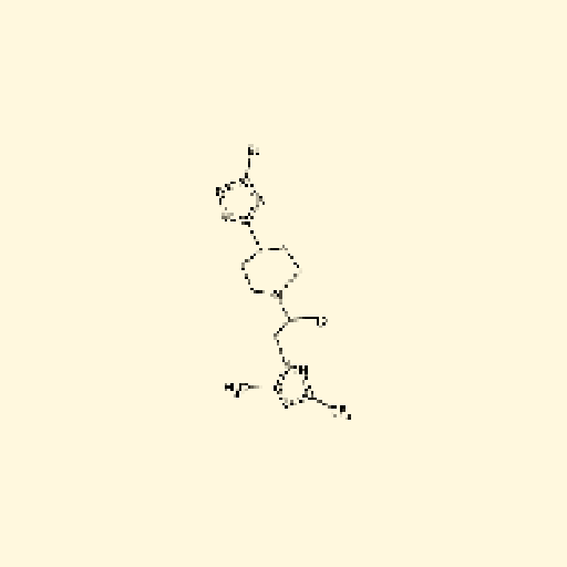 CCc1csc(C2CCN(C(=O)Cn3nc(C(F)(F)F)cc3C)CC2)n1